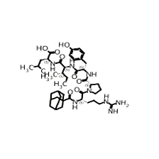 CC[C@H](C)[C@H](NC(=O)[C@H](Cc1ccc(O)cc1)NC(=O)[C@@H]1CCCN1C(=O)[C@H](CCCNC(=N)N)NC(=O)C12CC3CC(CC(C3)C1)C2)C(=O)N[C@@H](CC(C)C)C(=O)O